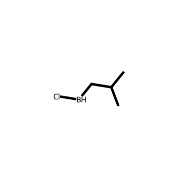 CC(C)CBCl